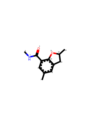 CNC(=O)c1cc(C)cc2c1OC(C)C2